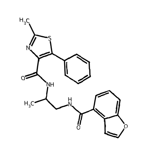 Cc1nc(C(=O)NC(C)CNC(=O)c2cccc3occc23)c(-c2ccccc2)s1